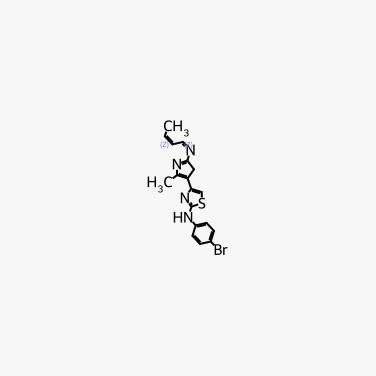 C/C=C\C=N/C1=NC(C)=C(c2csc(Nc3ccc(Br)cc3)n2)C1